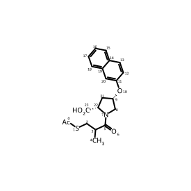 CC(=O)SCC(C)C(=O)N1C[C@@H](Oc2ccc3ccccc3c2)C[C@H]1C(=O)O